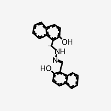 Oc1ccc2ccccc2c1[CH]NN=Cc1c(O)ccc2ccccc12